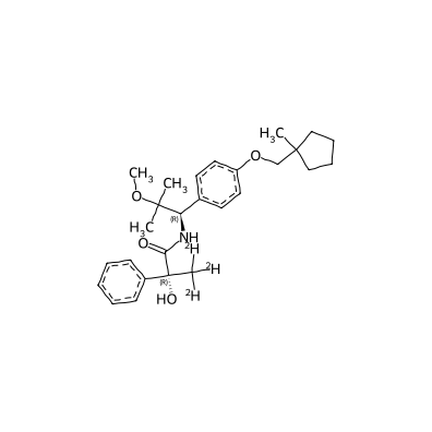 [2H]C([2H])([2H])[C@](O)(C(=O)N[C@H](c1ccc(OCC2(C)CCCC2)cc1)C(C)(C)OC)c1ccccc1